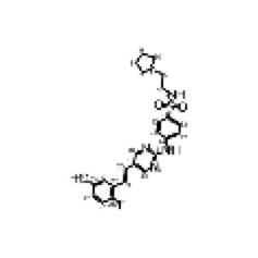 O=S(=O)(NCCN1CCCC1)c1ccc(Nc2ncc(/C=C/c3cc(O)ccc3F)cn2)cc1